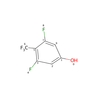 Oc1cc(F)c(C(F)(F)F)c(F)c1